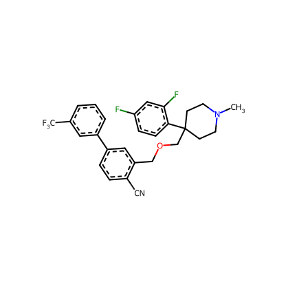 CN1CCC(COCc2cc(-c3cccc(C(F)(F)F)c3)ccc2C#N)(c2ccc(F)cc2F)CC1